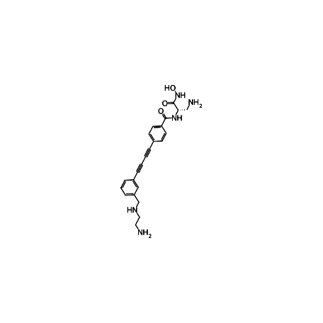 NCCNCc1cccc(C#CC#Cc2ccc(C(=O)N[C@@H](CN)C(=O)NO)cc2)c1